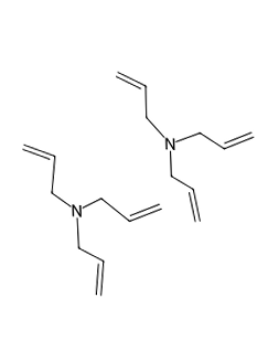 C=CCN(CC=C)CC=C.C=CCN(CC=C)CC=C